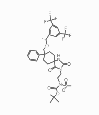 C[C@@H](OCC1(c2ccccc2)CCC2(CC1)NC(=O)N(CCN(C(=O)OC(C)(C)C)S(C)(=O)=O)C2=O)c1cc(C(F)(F)F)cc(C(F)(F)F)c1